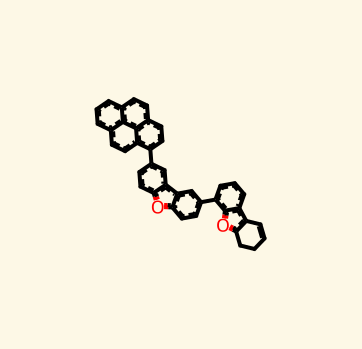 C1=Cc2c(oc3c(-c4ccc5oc6ccc(-c7ccc8ccc9cccc%10ccc7c8c9%10)cc6c5c4)cccc23)CC1